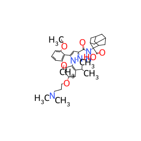 COc1cccc(OC)c1-c1cc(C(=O)NC2(C(=O)O)C3CC4CC(C3)CC2C4)nn1-c1ccc(OCCCN(C)C)cc1C(C)C